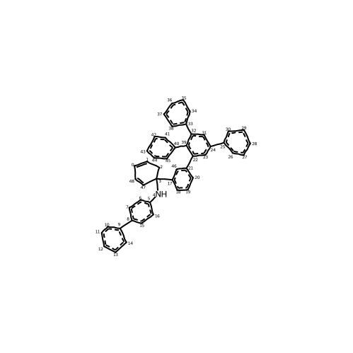 C1=CCC(Nc2ccc(-c3ccccc3)cc2)(c2cccc(-c3cc(-c4ccccc4)cc(-c4ccccc4)c3-c3ccccc3)c2)C=C1